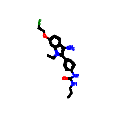 CCCNC(=O)Nc1ccc(-c2c(N)c3ccc(OCCF)cc3n2CC)cc1